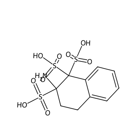 NC1(S(=O)(=O)O)CCc2ccccc2C1(S(=O)(=O)O)S(=O)(=O)O